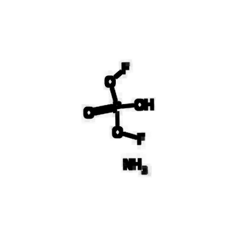 N.O=P(O)(OF)OF